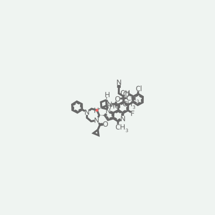 Cc1nc2c(F)c(-c3cccc(Cl)c3Cl)c(CCC#N)cc2c2c1cc([C@H]1CCN(c3ccccc3)CCN1C(=O)C1CC1)n2[C@H]1[C@@H]2C[C@H]1N(C(=O)OC(C)(C)C)C2